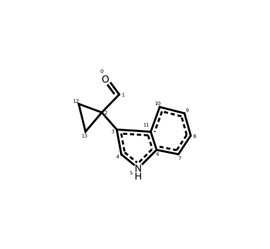 O=CC1(c2c[nH]c3ccccc23)CC1